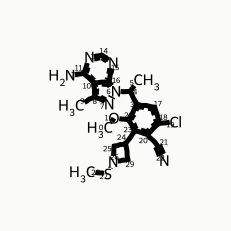 COc1c(C(C)n2nc(C)c3c(N)ncnc32)cc(Cl)c(C#N)c1C1CN(SC)C1